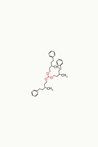 CC(CCOC(OCCC(C)CCc1ccccc1)OCCC(C)CCc1ccccc1)CCc1ccccc1